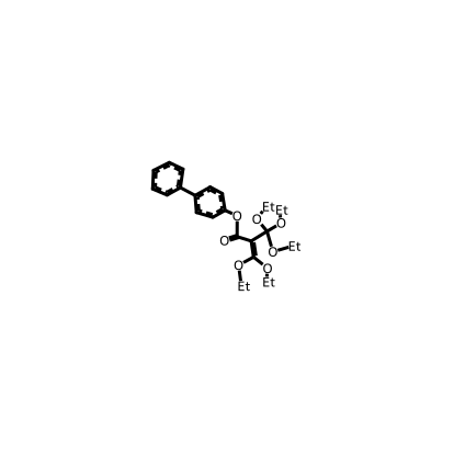 CCOC(OCC)=C(C(=O)Oc1ccc(-c2ccccc2)cc1)C(OCC)(OCC)OCC